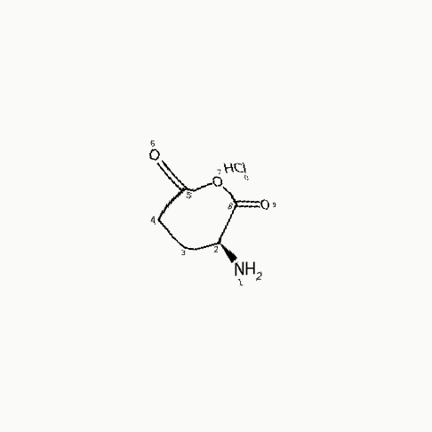 Cl.N[C@H]1CCC(=O)OC1=O